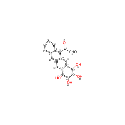 O=CC(=O)c1c2ccccc2cc2cc3c(O)c(O)c(O)c(O)c3cc12